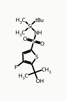 CC(C)(O)c1sc(S(=O)(=O)N[Si](C)(C)C(C)(C)C)cc1F